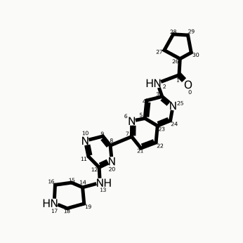 O=C(Nc1cc2nc(-c3cncc(NC4CCNCC4)n3)ccc2cn1)C1CCCC1